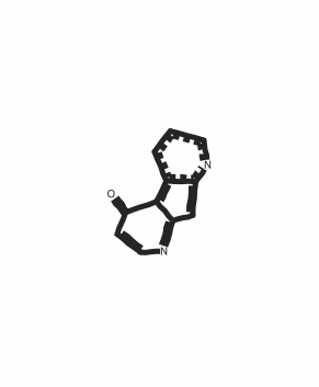 O=C1C=CN=C2C=c3ncccc3=C12